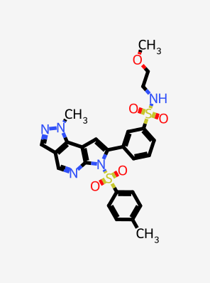 COCCNS(=O)(=O)c1cccc(-c2cc3c4c(cnc3n2S(=O)(=O)c2ccc(C)cc2)cnn4C)c1